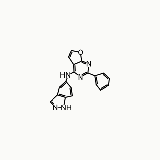 c1ccc(-c2nc(Nc3ccc4[nH]ncc4c3)c3ccoc3n2)cc1